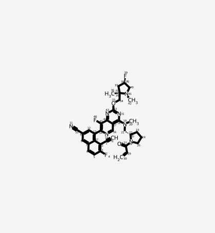 C#Cc1c(F)ccc2cc(C#N)cc(-c3ncc4c(N(C)C[C@@H]5CCCN5C(=O)C=C)nc(OC[C@]5(C)C[C@@H](F)CN5C)nc4c3F)c12